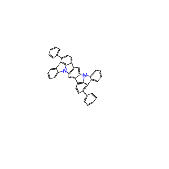 c1ccc(-c2ccc3c4cc5c(cc4n4c6ccccc6c2c34)c2ccc(-c3ccccc3)c3c4ccccc4n5c23)cc1